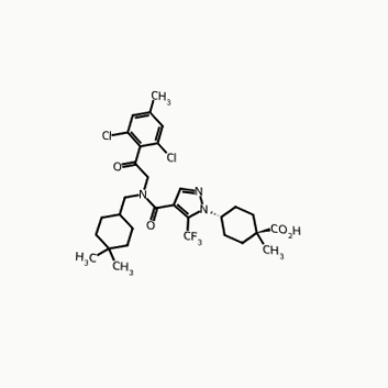 Cc1cc(Cl)c(C(=O)CN(CC2CCC(C)(C)CC2)C(=O)c2cnn([C@H]3CC[C@](C)(C(=O)O)CC3)c2C(F)(F)F)c(Cl)c1